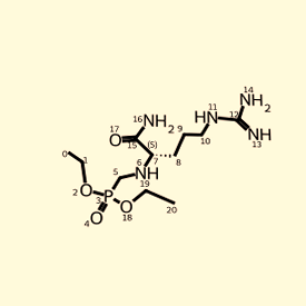 CCOP(=O)(CN[C@@H](CCCNC(=N)N)C(N)=O)OCC